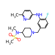 Cc1ccc(Nc2cc(CN3CCC(N(C)S(C)(=O)=O)CC3)ccc2F)cn1